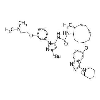 C=C1/C=C\C=C/C[C@H](Oc2ccc3nnc(N4C5CCCC4CC5)n3c2)CC[C@@H]1NC(=O)Nc1cc(C(C)(C)C)nn1-c1cccc(OCCN(C)C)c1